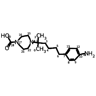 CC(C)(CCCCc1ccc(N)cc1)N1CCN(C(=O)O)CC1